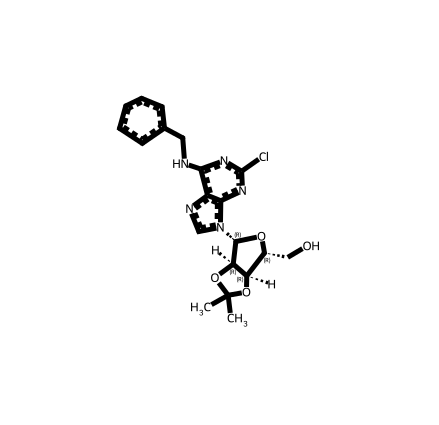 CC1(C)O[C@@H]2[C@H](O1)[C@@H](CO)O[C@H]2n1cnc2c(NCc3ccccc3)nc(Cl)nc21